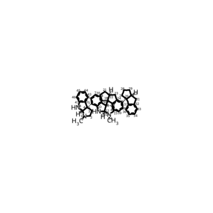 CN1CC[C@]2(c3cccc4c3N[C@H]3N(C)CC[C@@]43[C@]34CCC[C@H]3Cc3c([C@]56CCC[C@H]5Cc5ccccc56)cccc34)c3ccccc3N[C@H]12